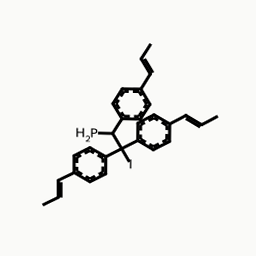 CC=Cc1ccc(C(P)C(I)(c2ccc(C=CC)cc2)c2ccc(C=CC)cc2)cc1